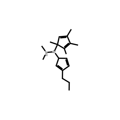 CCCC1=C[CH]([Zr]([SiH](C)C)[C]2(C)C=C(C)C(C)=C2C)C=C1